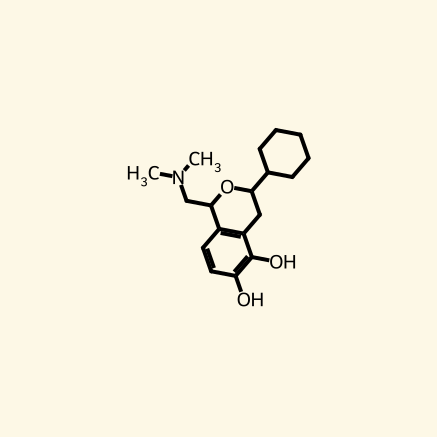 CN(C)CC1OC(C2CCCCC2)Cc2c1ccc(O)c2O